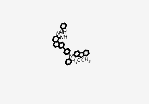 CC1(C)c2ccccc2-c2ccc(N(c3ccccc3)c3ccc(-c4ccc5c6c(ccc5c4)C=C/C(=N/Nc4ccccc4)C6=N)cc3)cc21